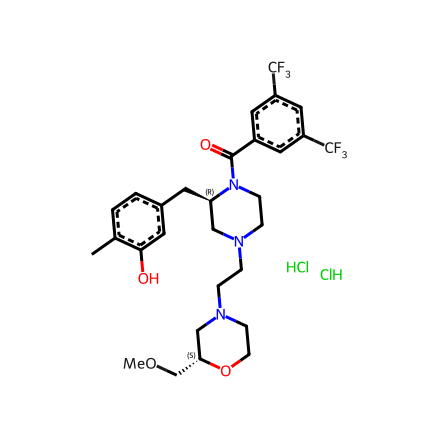 COC[C@@H]1CN(CCN2CCN(C(=O)c3cc(C(F)(F)F)cc(C(F)(F)F)c3)[C@H](Cc3ccc(C)c(O)c3)C2)CCO1.Cl.Cl